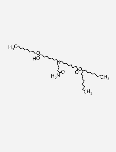 CCCCCCCCCOC(O)CCCCCCCN(CCCCCCCC(=O)OC(CCCCCCCC)CCCCCCCC)CCCC(N)=O